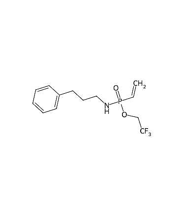 C=CP(=O)(NCCCc1ccccc1)OCC(F)(F)F